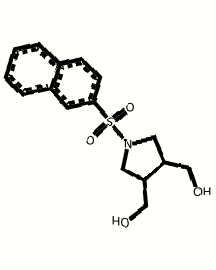 O=S(=O)(c1ccc2ccccc2c1)N1CC(CO)C(CO)C1